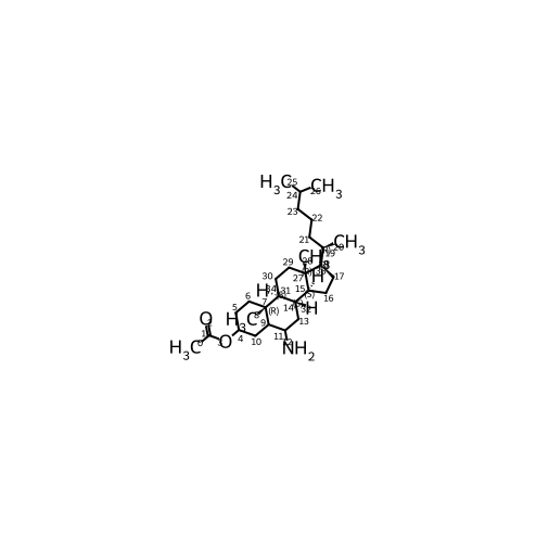 CC(=O)OC1CC[C@@]2(C)C(C1)C(N)C[C@H]1[C@@H]3CC[C@H]([C@H](C)CCCC(C)C)[C@@]3(C)CC[C@@H]12